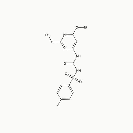 CCOc1cc(NC(=O)NS(=O)(=O)c2ccc(C)cc2)cc(OCC)n1